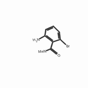 CNC(=O)c1c(N)cccc1Br